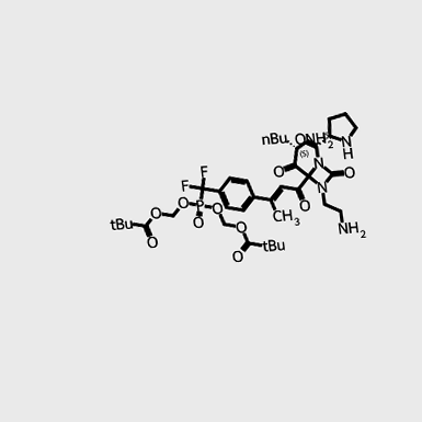 CCCC[C@H](N)C(=O)C1(C(=O)C=C(C)c2ccc(C(F)(F)P(=O)(OCOC(=O)C(C)(C)C)OCOC(=O)C(C)(C)C)cc2)N(CCN)C(=O)N1C(=O)[C@@H]1CCCN1